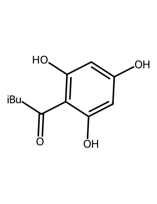 CCC(C)C(=O)c1c(O)cc(O)cc1O